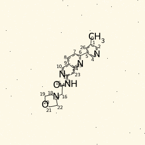 Cc1cncc(-c2ccc3cnc(NC(=O)CN4CCOCC4)cc3n2)c1